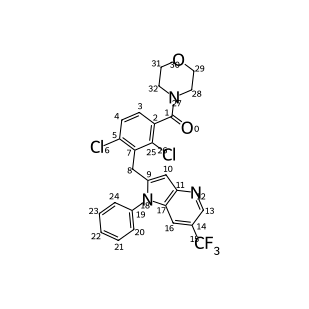 O=C(c1ccc(Cl)c(Cc2cc3ncc(C(F)(F)F)cc3n2-c2ccccc2)c1Cl)N1CCOCC1